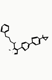 CCOC(=O)C1(c2ccc(-c3ccc(-c4cnn(C)c4C(O)CCCc4ccccc4)cc3)cc2)CC1